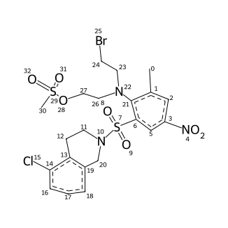 Cc1cc([N+](=O)[O-])cc(S(=O)(=O)N2CCc3c(Cl)cccc3C2)c1N(CCBr)CCOS(C)(=O)=O